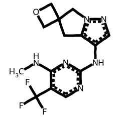 CNc1nc(Nc2cnn3c2CC2(COC2)C3)ncc1C(F)(F)F